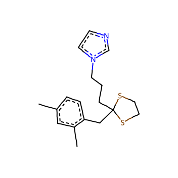 Cc1ccc(CC2(CCCn3ccnc3)SCCS2)c(C)c1